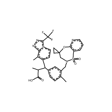 Cc1ccc(C(c2ccn3c(C(F)(F)F)nnc3c2C)C(C)C(=O)O)cc1CN1CC2(CC2)Oc2ncccc2S1(=O)=O